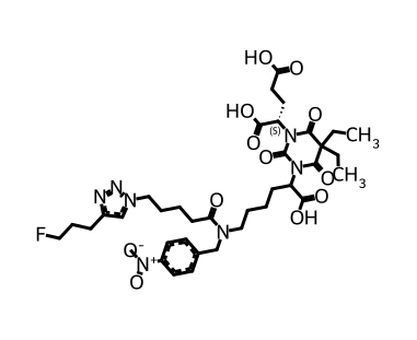 CCC1(CC)C(=O)N(C(CCCCN(Cc2ccc([N+](=O)[O-])cc2)C(=O)CCCCn2cc(CCCF)nn2)C(=O)O)C(=O)N([C@@H](CCC(=O)O)C(=O)O)C1=O